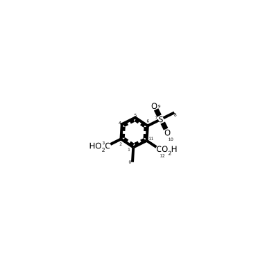 Cc1c(C(=O)O)ccc(S(C)(=O)=O)c1C(=O)O